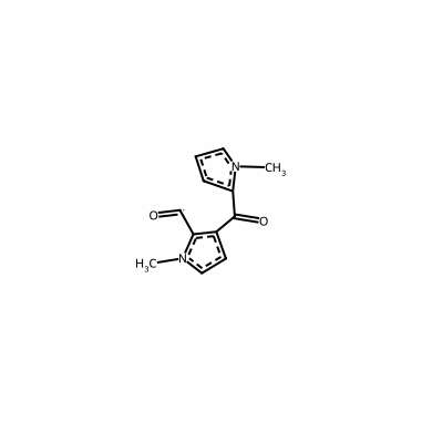 Cn1cccc1C(=O)c1ccn(C)c1[C]=O